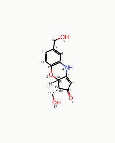 O=C1C=C2Nc3cc(CO)ccc3O[C@H]2[C@H]1CO